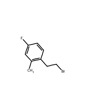 Cc1cc(F)ccc1[CH]CBr